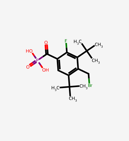 CC(C)(C)c1cc(C(=O)P(=O)(O)O)c(F)c(C(C)(C)C)c1CBr